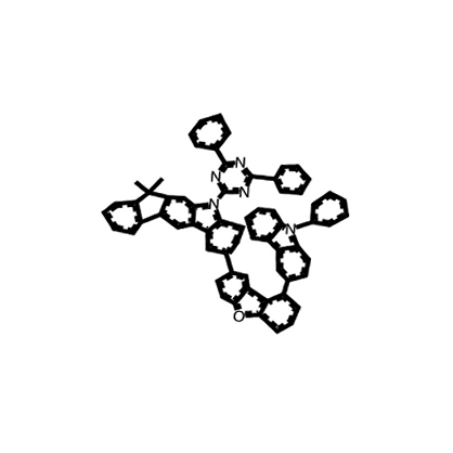 CC1(C)c2ccccc2-c2cc3c4cc(-c5ccc6oc7cccc(-c8ccc9c(c8)c8ccccc8n9-c8ccccc8)c7c6c5)ccc4n(-c4nc(-c5ccccc5)nc(-c5ccccc5)n4)c3cc21